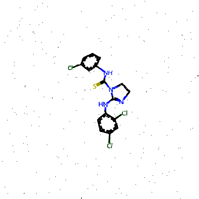 S=C(Nc1cccc(Cl)c1)N1CCN=C1Nc1ccc(Cl)cc1Cl